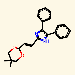 CC1(C)COC(C=Cc2nc(-c3ccccc3)c(-c3ccccc3)[nH]2)OC1